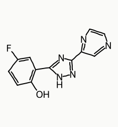 Oc1ccc(F)cc1-c1nc(-c2cnccn2)n[nH]1